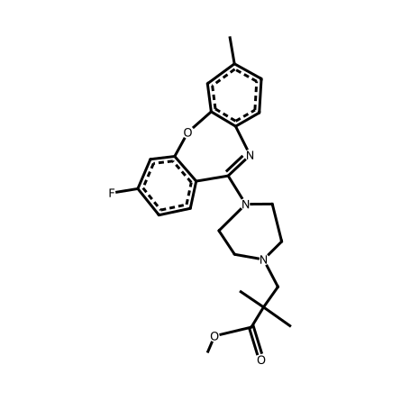 COC(=O)C(C)(C)CN1CCN(C2=Nc3ccc(C)cc3Oc3cc(F)ccc32)CC1